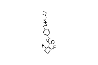 Fc1cccc(F)c1C1=NC(c2ccc(CSSCC3CCC3)cc2)CO1